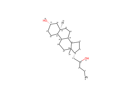 CC(C)CCC(O)C[C@H]1CCC2C3CC[C@@H]4C[C@@H](O)CCC4C3CCC21C